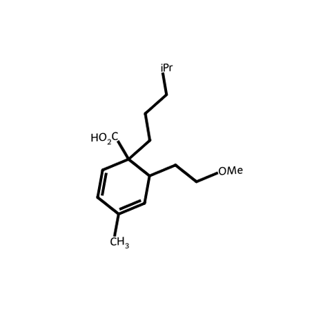 COCCC1C=C(C)C=CC1(CCCC(C)C)C(=O)O